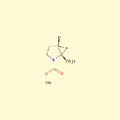 CC(C)(C)OC(=O)N1CC[C@@H]2C[C@@]21C(=O)O